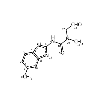 Cc1ccc2sc(NC(=O)N(C)CC=O)nc2c1